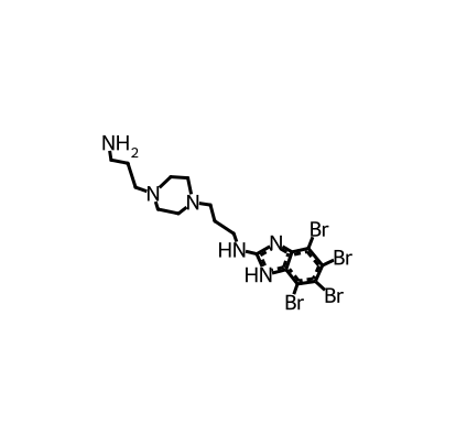 NCCCN1CCN(CCCNc2nc3c(Br)c(Br)c(Br)c(Br)c3[nH]2)CC1